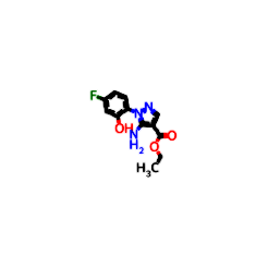 CCOC(=O)c1cnn(-c2ccc(F)cc2O)c1N